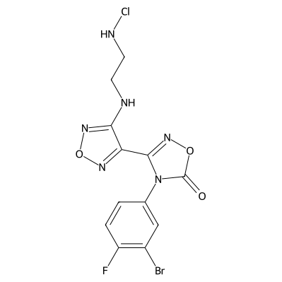 O=c1onc(-c2nonc2NCCNCl)n1-c1ccc(F)c(Br)c1